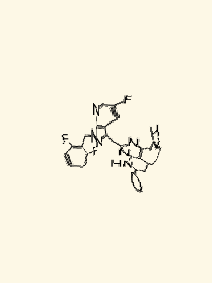 C[C@@]12CCNc3nc(-c4nn(Cc5c(F)cccc5F)c5ncc(F)cc45)nc(c31)NC(=O)C2